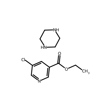 C1CNCCN1.CCOC(=O)c1cncc(Cl)c1